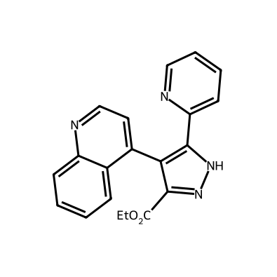 CCOC(=O)c1n[nH]c(-c2ccccn2)c1-c1ccnc2ccccc12